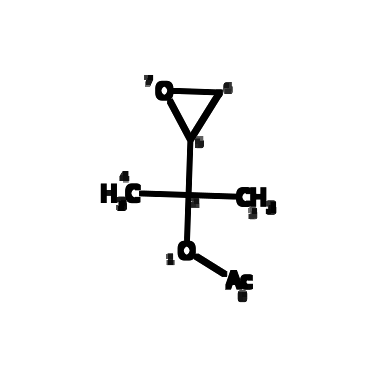 CC(=O)OC(C)(C)C1CO1